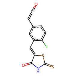 O=C=Cc1ccc(F)c(/C=C2\SC(=S)NC2=O)c1